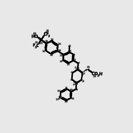 Cc1cc(CN2CCN(Cc3ccncc3)C[C@H]2CC(=O)O)ccc1-c1ccc(C(O)(C(F)(F)F)C(F)(F)F)cc1